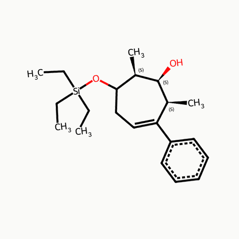 CC[Si](CC)(CC)OC1CC=C(c2ccccc2)[C@H](C)[C@H](O)[C@@H]1C